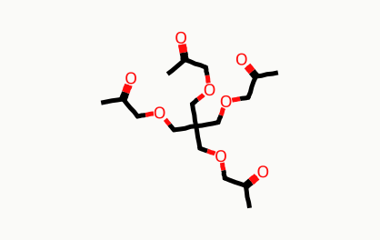 CC(=O)COCC(COCC(C)=O)(COCC(C)=O)COCC(C)=O